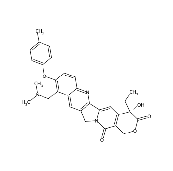 CC[C@@]1(O)C(=O)OCc2c1cc1n(c2=O)Cc2cc3c(CN(C)C)c(Oc4ccc(C)cc4)ccc3nc2-1